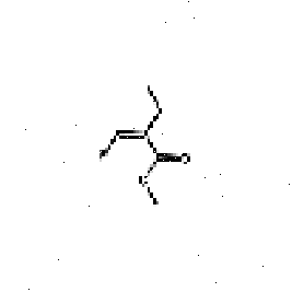 CCC(=CF)C(=O)OC